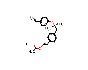 C=Cc1ccc(OC(C)(C)Cc2ccc(C=COC(C)OC)cc2)cc1